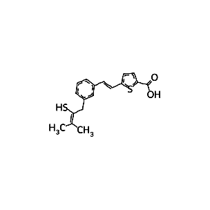 CC(C)=C(S)Cc1cccc(C=Cc2ccc(C(=O)O)s2)c1